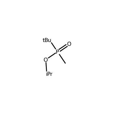 CC(C)OP(C)(=O)C(C)(C)C